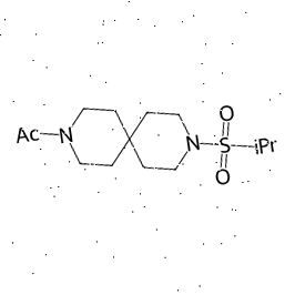 CC(=O)N1CCC2(CC1)CCN(S(=O)(=O)C(C)C)CC2